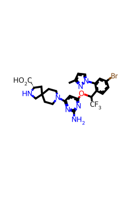 Cc1ccn(-c2cc(Br)ccc2C(Oc2cc(N3CCC4(CC3)CN[C@H](C(=O)O)C4)nc(N)n2)C(F)(F)F)n1